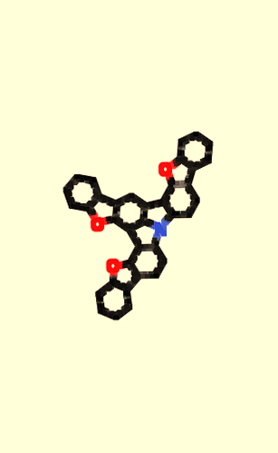 c1ccc2c(c1)oc1c2ccc2c1c1cc3c4ccccc4oc3c3c4c5oc6ccccc6c5ccc4n2c13